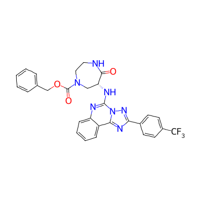 O=C1NCCN(C(=O)OCc2ccccc2)C[C@H]1Nc1nc2ccccc2c2nc(-c3ccc(C(F)(F)F)cc3)nn12